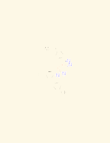 COc1ccc(-c2nnc(CN3C[C@H](c4cccc(C(F)(F)F)c4)N(c4ccc(Cl)cc4)C3=O)o2)cc1